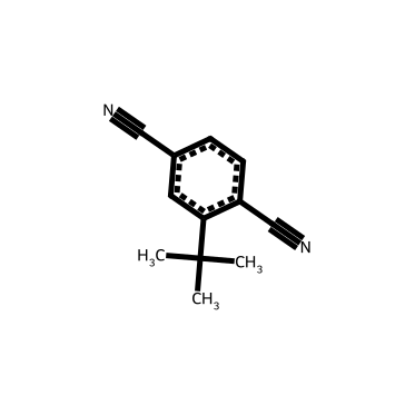 CC(C)(C)c1cc(C#N)ccc1C#N